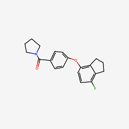 O=C(c1ccc(Oc2ccc(F)c3c2CCC3)cc1)N1CCCC1